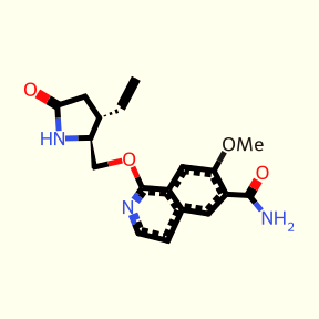 C=C[C@H]1CC(=O)N[C@@H]1COc1nccc2cc(C(N)=O)c(OC)cc12